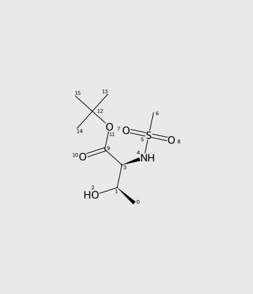 C[C@@H](O)[C@H](NS(C)(=O)=O)C(=O)OC(C)(C)C